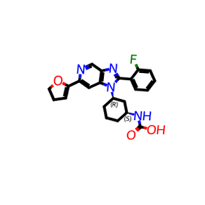 O=C(O)N[C@H]1CCC[C@@H](n2c(-c3ccccc3F)nc3cnc(C4=CCCO4)cc32)C1